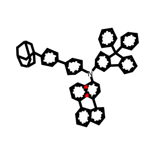 c1ccc(-c2cccc3cccc(-c4ccc(N(c5ccc(-c6ccc(C78CC9CC(CC(C9)C7)C8)cc6)cc5)c5ccc6c(c5)-c5ccccc5C6(c5ccccc5)c5ccccc5)cc4)c23)cc1